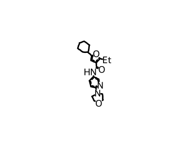 CCc1oc(C2CCCCC2)cc1C(=O)Nc1ccc(N2CCOCC2)nc1